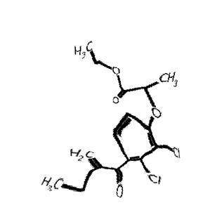 C=C(CC)C(=O)c1ccc(OC(C)C(=O)OCC)c(Cl)c1Cl